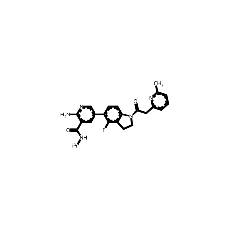 Cc1cccc(CC(=O)N2CCc3c2ccc(-c2cnc(N)c(C(=O)NC(C)C)c2)c3F)n1